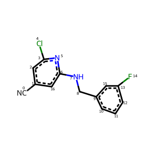 N#Cc1cc(Cl)nc(NCc2cccc(F)c2)c1